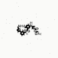 CC(=O)NCc1ccc(-c2cccc([C@@H](C)NC(=O)c3cc(NC4CN(C(=O)OC(C)OC(C)=O)C4)ccc3C)c2)s1